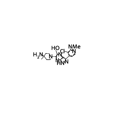 CNc1nccc(-c2n[nH]c3nc(N4CCC(C)(N)CC4)c(CO)nc23)c1Cl